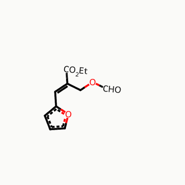 CCOC(=O)/C(=C/c1ccco1)COC=O